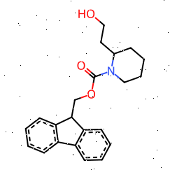 O=C(OCC1c2ccccc2-c2ccccc21)N1CCCCC1CCO